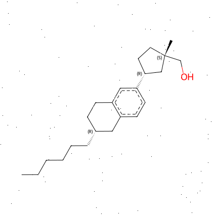 CCCCCC[C@@H]1CCc2cc([C@@H]3CC[C@](C)(CO)C3)ccc2C1